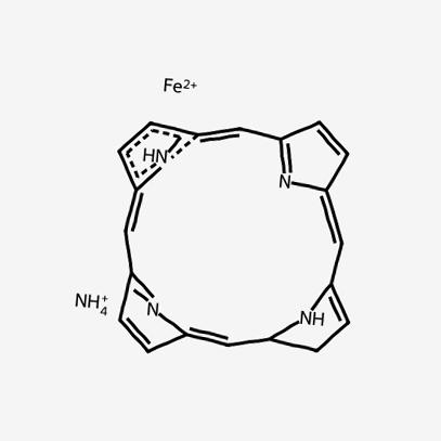 C1=CC2=NC1=CC1=CCC(C=C3C=CC(=N3)C=c3ccc([nH]3)=C2)N1.[Fe+2].[NH4+]